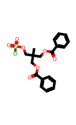 CC(COC(=O)c1ccccc1)(COC(=O)c1ccccc1)COS(=O)(=O)Cl